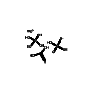 O=C(O)O.O[Si](O)(O)O.[Mg+2].[O-][Si]([O-])(O)O